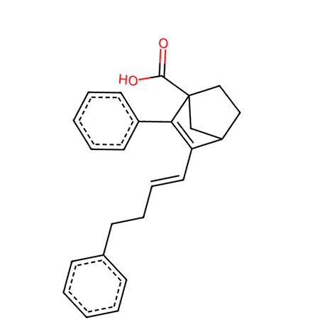 O=C(O)C12CCC(C1)C(C=CCCc1ccccc1)=C2c1ccccc1